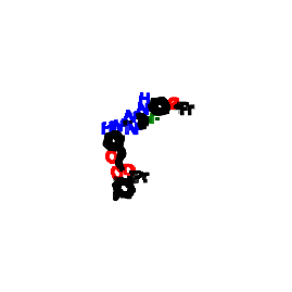 CC(C)Oc1ccc(Nc2nc(Nc3ccc4c(c3)CC(C(=O)O[C@@H]3C[C@H](C)CCC3C(C)C)O4)ncc2F)cc1